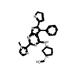 Cn1ccnc1-c1nc(N[C@@H]2CC[C@H](CO)C2)c2c(-c3ccccc3)c(C3=NCC=C3)sc2n1